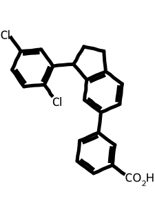 O=C(O)c1cccc(-c2ccc3c(c2)C(c2cc(Cl)ccc2Cl)CC3)c1